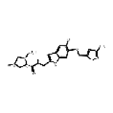 Cc1cc(COc2cc3[nH]c(CNC(=O)[C@@H]4C[C@@H](F)CN4C(=O)O)cc3cc2Cl)on1